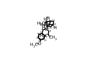 COc1ccc(CN(CC(C)C)[C@@H]2C[C@@H]3C[C@H]([C@H]2C)C3(C)C)cc1